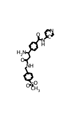 CS(=O)(=O)c1ccc(CNC(=O)CC(N)c2ccc(C(=O)Nc3ccncc3)cc2)cc1